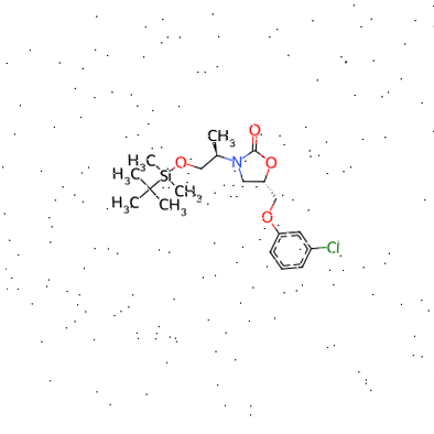 C[C@H](CO[Si](C)(C)C(C)(C)C)N1C[C@@H](COc2cccc(Cl)c2)OC1=O